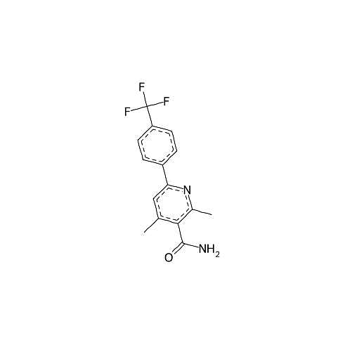 Cc1cc(-c2ccc(C(F)(F)F)cc2)nc(C)c1C(N)=O